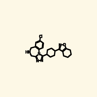 Clc1ccc2c(c1)CNCc1nnc(C3CCC(c4noc5c4CCCC5)CC3)n1-2